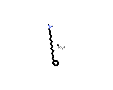 CN(C)CCCCCCCCCCCCCc1ccccc1.CS(=O)(=O)O